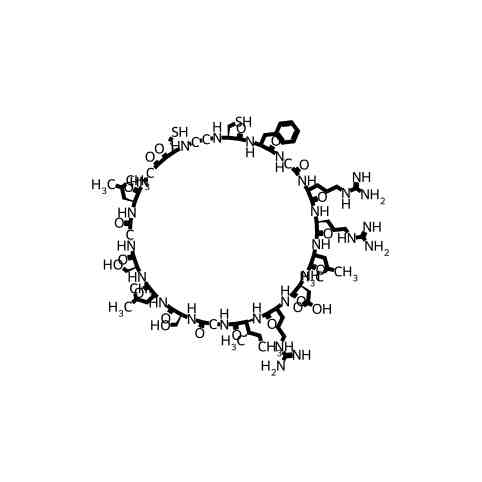 CC[C@H](C)[C@@H]1NC(=O)C(CCCNC(=N)N)NC(=O)[C@H](CC(=O)O)NC(=O)C(CC(C)C)NC(=O)[C@H](CCCNC(=N)N)NC(=O)C(CCCNC(=N)N)NC(=O)CNC(=O)C(Cc2ccccc2)NC(=O)[C@H](CS)NCCN[C@@H](CS)C(=O)C(=O)CNC(=O)[C@H](CC(C)C)NC(=O)CNC(=O)[C@H](CO)NC(=O)C(CC(C)C)NC(=O)[C@H](CO)NC(=O)CNC1=O